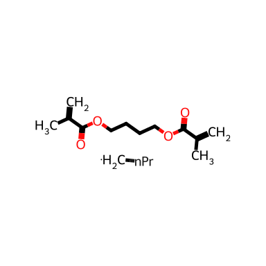 C=C(C)C(=O)OCCCCOC(=O)C(=C)C.[CH2]CC[CH2]